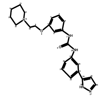 O=C(Nc1cccc(OCCN2CCCCC2)c1)Nc1cccc(-c2ccn[nH]2)c1